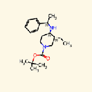 CC[C@@H]1CN(C(=O)OC(C)(C)C)CC[C@H]1N[C@H](C)c1ccccc1